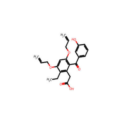 C=CCOc1cc(OCC=C)c(C(=O)c2cccc(O)c2)c(CC(=O)O)c1CC